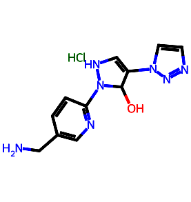 Cl.NCc1ccc(N2NC=C(n3ccnn3)C2O)nc1